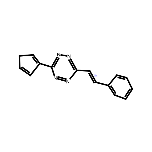 C1=CC(c2nnc(/C=C/c3ccccc3)nn2)=CC1